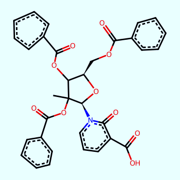 CC1(OC(=O)c2ccccc2)C(OC(=O)c2ccccc2)[C@@H](COC(=O)c2ccccc2)O[C@H]1n1cccc(C(=O)O)c1=O